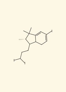 C[C@H]1C(CCC(I)I)C2CC=C(I)C=C2C1(C)C